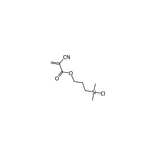 C=C(C#N)C(=O)OCCC[Si](C)(C)Cl